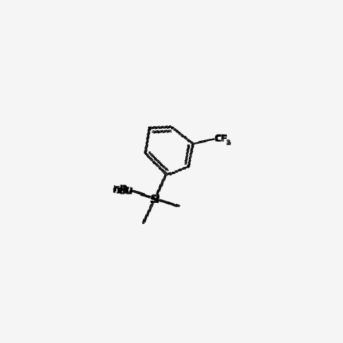 CCCC[Si](C)(C)c1cccc(C(F)(F)F)c1